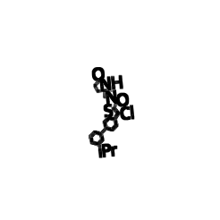 CC(C)c1cccc(-c2ccc3c(Cl)c(C(=O)N4CC5(CCC(=O)N5)C4)sc3c2)c1